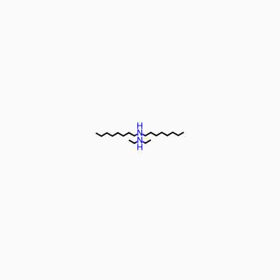 CCCCCCCCNCCCCCCCC.CCNCC